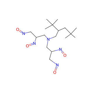 CC(C)(C)CC(CN(CC(CN=O)N=O)CC(CN=O)N=O)C(C)(C)C